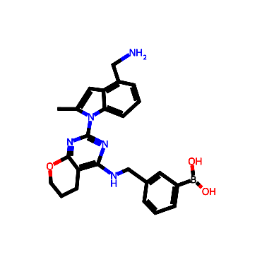 Cc1cc2c(CN)cccc2n1-c1nc(NCc2cccc(B(O)O)c2)c2c(n1)OCCC2